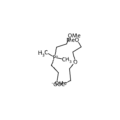 COCCOCCC(=O)[O-].COCC[P+](C)(C)CCOC